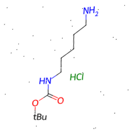 CC(C)(C)OC(=O)NCCCCCN.Cl